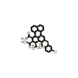 NC(=O)c1c(C(=O)O)c2c(C(=O)O)c(Cc3cccc(Cl)c3)cc3c4cccc5cccc(c(c1C(N)=O)c23)c54